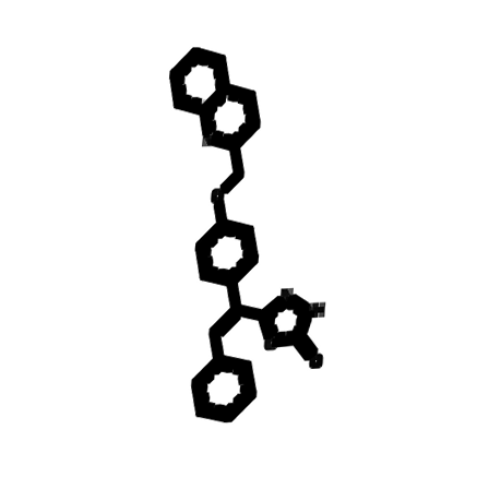 O=c1[nH]nc(C(=Cc2ccccc2)c2ccc(OCc3ccc4ccccc4n3)cc2)o1